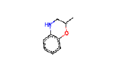 C[C]1CNc2ccccc2O1